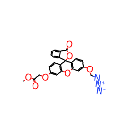 COC(=O)COc1ccc2c(c1)Oc1cc(OCN=[N+]=[N-])ccc1C21OC(=O)c2ccccc21